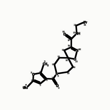 Cc1oc(C(C)(C)C)cc1C(=O)N1CCC2(CC1)CC(C(=O)NCC(C)C)=NO2